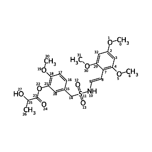 COc1cc(OC)c(C=CNS(=O)(=O)Cc2ccc(OC)c(OC(=O)C(C)O)c2)c(OC)c1